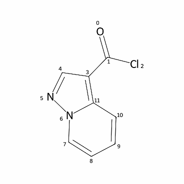 O=C(Cl)c1cnn2ccccc12